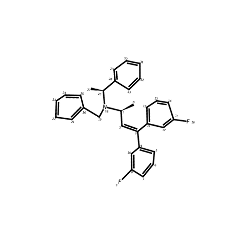 C[C@@H](C=C(c1cccc(F)c1)c1cccc(F)c1)N(Cc1ccccc1)[C@@H](C)c1ccccc1